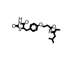 Cc1oc(CCOc2ccc(CC3SC(=O)NC3=O)cc2)nc1CC(C)C